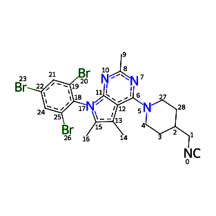 [C-]#[N+]CC1CCN(c2nc(C)nc3c2c(C)c(C)n3-c2c(Br)cc(Br)cc2Br)CC1